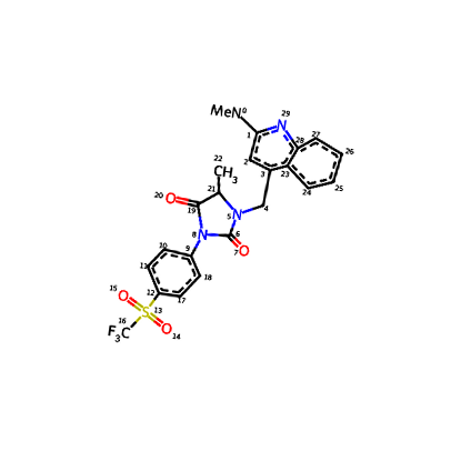 CNc1cc(CN2C(=O)N(c3ccc(S(=O)(=O)C(F)(F)F)cc3)C(=O)C2C)c2ccccc2n1